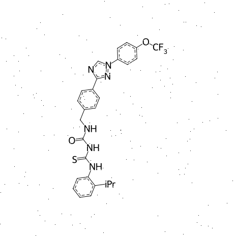 CC(C)c1ccccc1NC(=S)NC(=O)NCc1ccc(-c2ncn(-c3ccc(OC(F)(F)F)cc3)n2)cc1